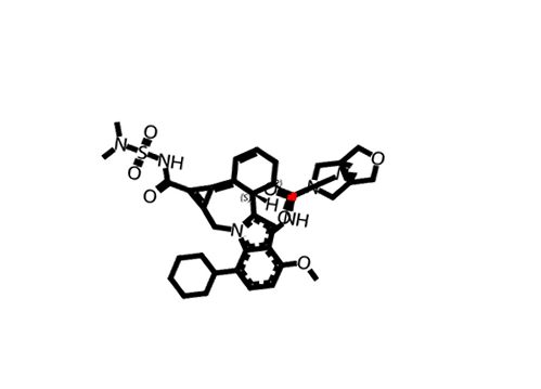 CNC(=O)N1CC23COCC2(C1)CN(C(=O)[C@@H]1CC=CC2=C4C(=C4C(=O)NS(=O)(=O)N(C)C)Cn4c(cc5c(OC)ccc(C6CCCCC6)c54)[C@H]21)C3